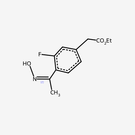 CCOC(=O)Cc1ccc(/C(C)=N\O)c(F)c1